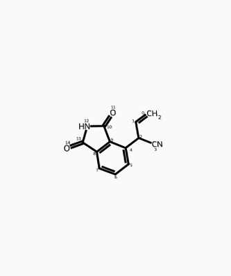 C=CC(C#N)c1cccc2c1C(=O)NC2=O